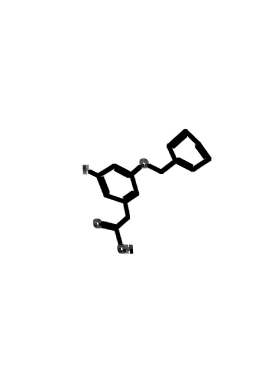 O=C(O)Cc1cc(F)cc(OCc2ccccc2)c1